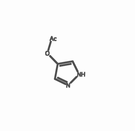 CC(=O)Oc1cn[nH]c1